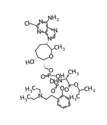 CCN(CC)CCc1ccccc1OP(=O)(N[C@@H](C)C(=O)OC(C)C)OP(=O)(O)OC[C@H]1OC(C)[C@@H](n2cnc3c(N)nc(Cl)nc32)CC[C@H]1O